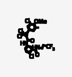 COc1c(C)cc(C2C(C(=O)Nc3ccc(Cl)c(C(=O)NCCC(F)(F)F)c3)C2(Cl)Cl)cc1Cl